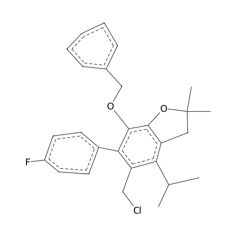 CC(C)c1c2c(c(OCc3ccccc3)c(-c3ccc(F)cc3)c1CCl)OC(C)(C)C2